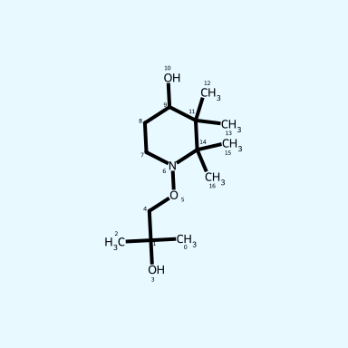 CC(C)(O)CON1CCC(O)C(C)(C)C1(C)C